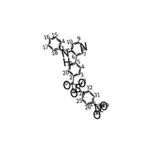 O=C(c1ccc(-c2cnccc2Nc2ccccc2)cc1)S(=O)(=O)c1ccc([N+](=O)[O-])cc1